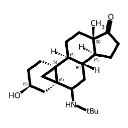 CC(C)(C)NC1C[C@@H]2[C@H](CC[C@]3(C)C(=O)CC[C@@H]23)[C@@]23CC[C@H](O)C[C@@]12C3